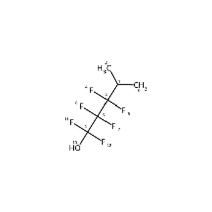 CC(C)C(F)(F)C(F)(F)C(O)(F)F